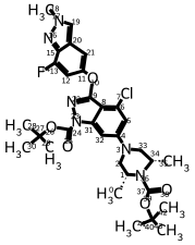 C[C@@H]1CN(c2cc(Cl)c3c(Oc4cc(F)c5nn(C)cc5c4)nn(C(=O)OC(C)(C)C)c3c2)C[C@H](C)N1C(=O)OC(C)(C)C